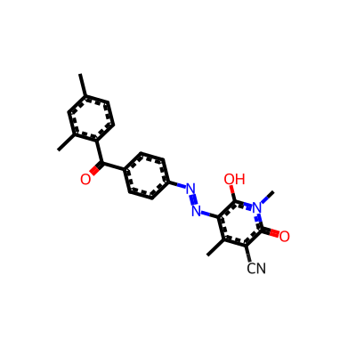 Cc1ccc(C(=O)c2ccc(/N=N/c3c(C)c(C#N)c(=O)n(C)c3O)cc2)c(C)c1